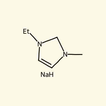 CCN1C=CN(C)C1.[NaH]